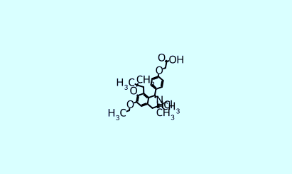 CCOc1cc2c(c3c1OC(C)(C)C3)C(c1ccc(OCC(=O)O)cc1)=NC(C)(C)C2.Cl